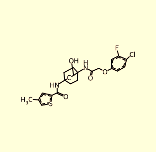 Cc1csc(C(=O)NC23CCC(NC(=O)COc4ccc(Cl)c(F)c4)(CC2)C(O)C3)c1